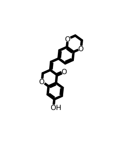 O=C1C(=Cc2ccc3c(c2)OCCO3)COc2cc(O)ccc21